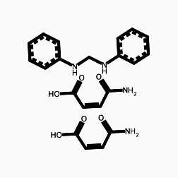 NC(=O)/C=C\C(=O)O.NC(=O)/C=C\C(=O)O.c1ccc(NCNc2ccccc2)cc1